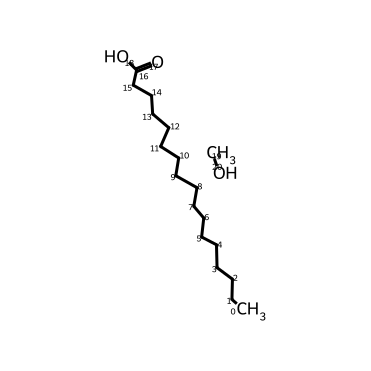 CCCCCCCCCCCCCCCCC(=O)O.CO